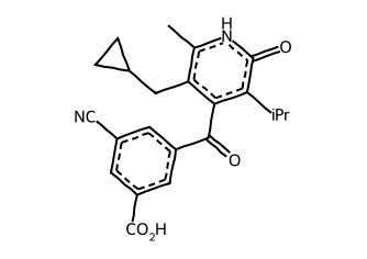 Cc1[nH]c(=O)c(C(C)C)c(C(=O)c2cc(C#N)cc(C(=O)O)c2)c1CC1CC1